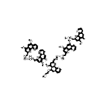 COCCOc1cc2cccnc2c2nc(C=NO)cc(OC)c12.COc1cc(C=NO)nc2c1c(F)cc1cccnc12.COc1cc2c(O)cc(C=NO)nc2c2ncccc12.COc1cc2c(SC)cc(C=NO)nc2c2ncccc12.CSc1cc(C=NO)nc2c1c(C)cc1cccnc12